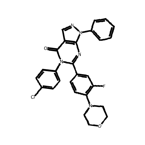 O=c1c2cnn(-c3ccccc3)c2nc(-c2ccc(N3CCOCC3)c(F)c2)n1-c1ccc(Cl)cc1